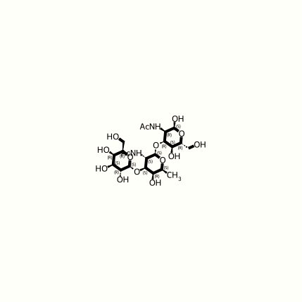 CC(=O)N[C@@H]1[C@H](O[C@H]2[C@H](O)[C@@H](CO)O[C@H](O)[C@@H]2NC(C)=O)O[C@@H](C)[C@@H](O)[C@H]1O[C@H]1O[C@H](CO)[C@H](O)[C@H](O)[C@H]1O